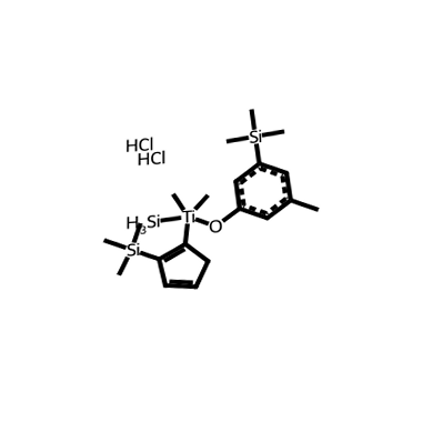 Cc1cc([O][Ti]([CH3])([CH3])([SiH3])[C]2=C([Si](C)(C)C)C=CC2)cc([Si](C)(C)C)c1.Cl.Cl